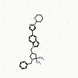 CC1(C)CC(Cn2ccc3cc(-c4cnn(C5CCCCO5)c4)ccc32)CN1Cc1ccccc1